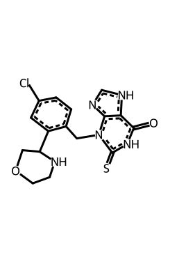 O=c1[nH]c(=S)n(Cc2ccc(Cl)cc2C2COCCN2)c2nc[nH]c12